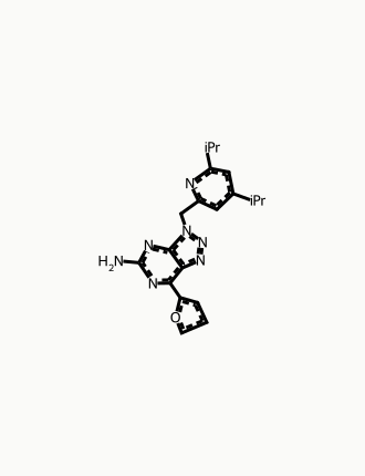 CC(C)c1cc(Cn2nnc3c(-c4ccco4)nc(N)nc32)nc(C(C)C)c1